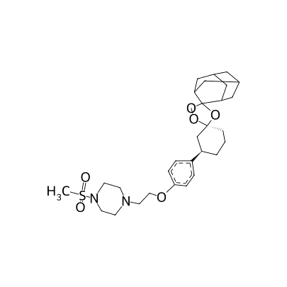 CS(=O)(=O)N1CCN(CCOc2ccc([C@@H]3CCC[C@]4(C3)OOC3(O4)C4CC5CC(C4)CC3C5)cc2)CC1